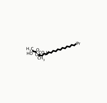 CC(C)CCCCCCCCCCCCCCCC(C)(OC(=O)C(C)O)C(=O)O